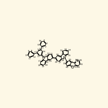 c1ccc(-c2cc(-c3ccccc3)cc(-n3c4ccccc4c4cc(-c5ccc6c(c5)c5ccccc5n6-c5ccc6oc7cccnc7c6c5)ccc43)c2)cc1